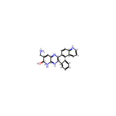 NCc1cc2nc(-c3ccc4ncccc4c3)c(-c3ccccc3)nc2[nH]c1=O